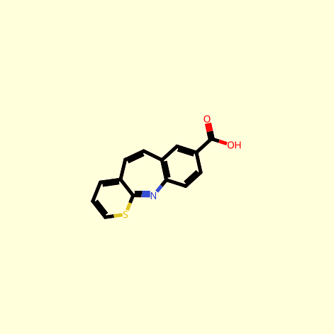 O=C(O)c1ccc2c(c1)C=CC1=CC=CSC1=N2